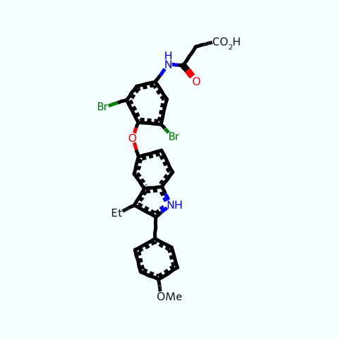 CCc1c(-c2ccc(OC)cc2)[nH]c2ccc(Oc3c(Br)cc(NC(=O)CC(=O)O)cc3Br)cc12